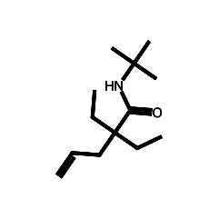 C=CCC(CC)(CC)C(=O)NC(C)(C)C